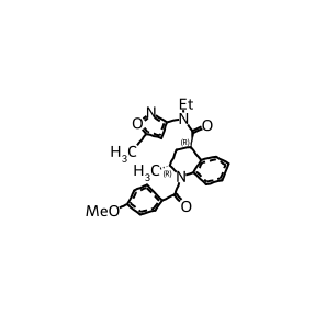 CCN(C(=O)[C@@H]1C[C@@H](C)N(C(=O)c2ccc(OC)cc2)c2ccccc21)c1cc(C)on1